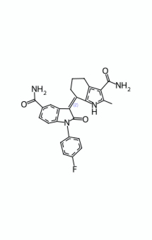 Cc1[nH]c2c(c1C(N)=O)CCC/C2=C1/C(=O)N(c2ccc(F)cc2)c2ccc(C(N)=O)cc21